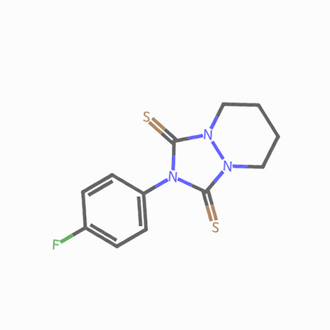 Fc1ccc(-n2c(=S)n3n(c2=S)CCCC3)cc1